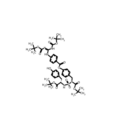 CC(C)(C)OC(=O)/N=C(/NC(=O)OC(C)(C)C)Nc1ccc(C(=O)Oc2ccc(CN(C(=O)OC(C)(C)C)S(=O)(=O)N[C@@H](Cc3ccc(O)cc3)C(=O)OC(C)(C)C)cc2)cc1